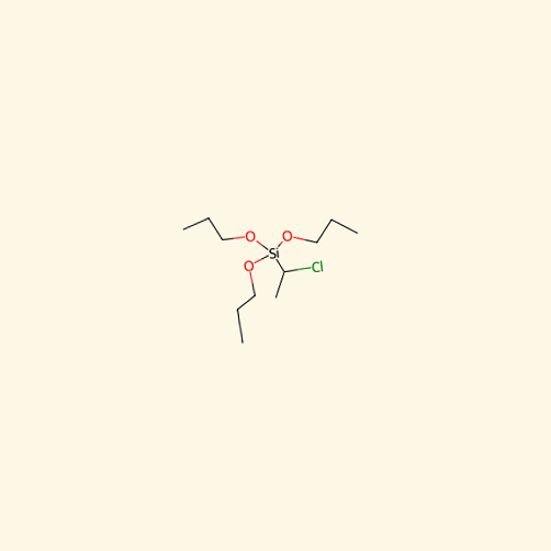 CCCO[Si](OCCC)(OCCC)C(C)Cl